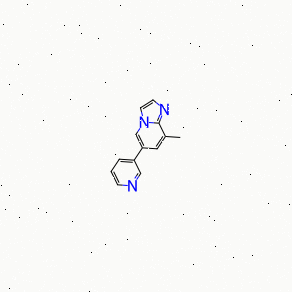 Cc1cc(-c2cccnc2)cn2ccnc12